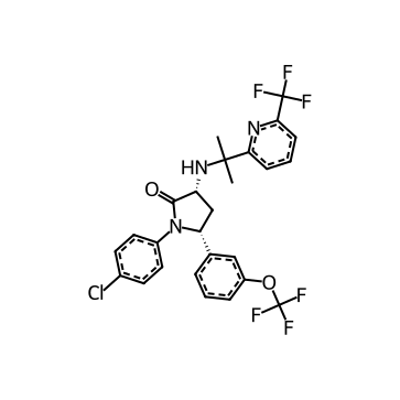 CC(C)(N[C@@H]1C[C@H](c2cccc(OC(F)(F)F)c2)N(c2ccc(Cl)cc2)C1=O)c1cccc(C(F)(F)F)n1